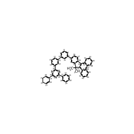 CC1(C)c2cc(-c3cccc(-c4cccc(-c5nc(C6=CCCC=C6)nc(-c6ccccc6)n5)c4)c3)ccc2-c2c1c1ccccc1c1ccccc21